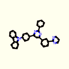 c1ccc(-c2nc(-c3ccc(-n4c5ccccc5c5ccccc54)cc3)cc(-c3cccc(-c4ncccn4)c3)n2)cc1